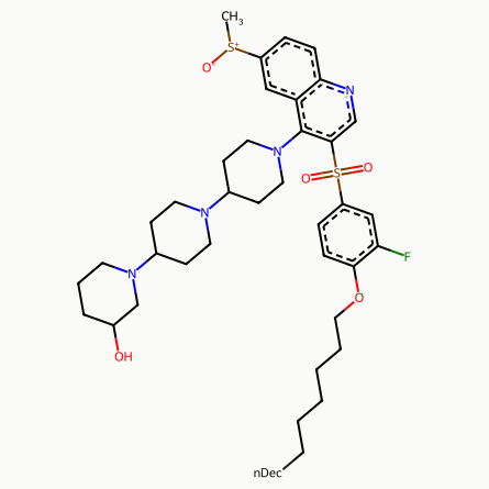 CCCCCCCCCCCCCCCCOc1ccc(S(=O)(=O)c2cnc3ccc([S+](C)[O-])cc3c2N2CCC(N3CCC(N4CCCC(O)C4)CC3)CC2)cc1F